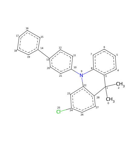 CC1(C)c2ccccc2N(c2ccc(-c3ccccc3)cc2)c2cc(Cl)ccc21